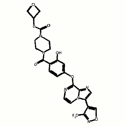 O=C(OC1COC1)N1CCN(C(=O)c2ccc(Oc3nccn4c(-c5conc5C(F)(F)F)cnc34)cc2O)CC1